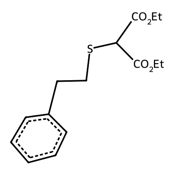 CCOC(=O)C(SCCc1ccccc1)C(=O)OCC